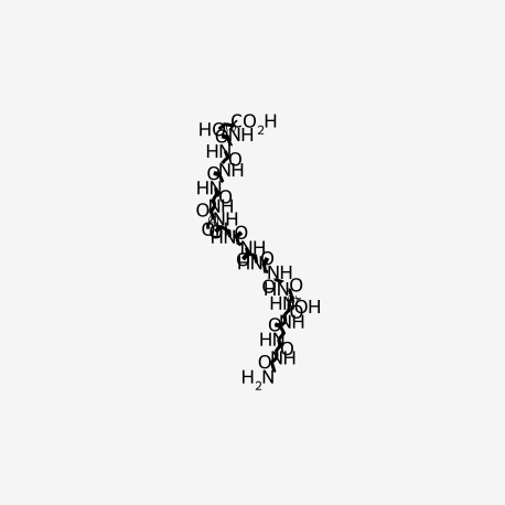 NCC(=O)NCC(=O)NCC(=O)NCC(=O)N[C@@H](CO)C(=O)NCC(=O)NCC(=O)NCC(=O)NCC(=O)NCC(=O)N[C@@H](CO)C(=O)NCC(=O)NCC(=O)NCC(=O)NCC(=O)N[C@@H](CO)C(=O)O